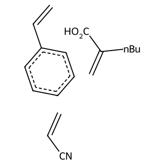 C=C(CCCC)C(=O)O.C=CC#N.C=Cc1ccccc1